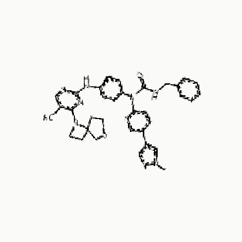 Cn1cc(-c2ccc(N(C(=O)NCc3ccccc3)c3ccc(Nc4ncc(C#N)c(N5CCC56CCOC6)n4)cc3)nc2)cn1